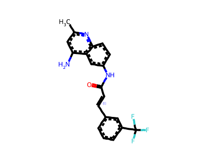 Cc1cc(N)c2cc(NC(=O)/C=C/c3cccc(C(F)(F)F)c3)ccc2n1